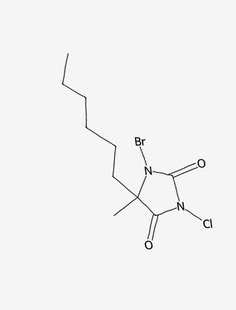 CCCCCCC1(C)C(=O)N(Cl)C(=O)N1Br